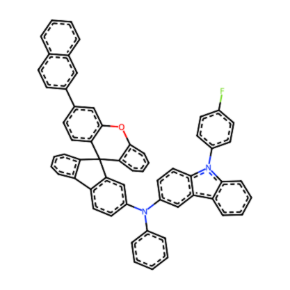 Fc1ccc(-n2c3ccccc3c3cc(N(c4ccccc4)c4ccc5c(c4)C4(c6ccccc6Oc6cc(-c7ccc8ccccc8c7)ccc64)c4ccccc4-5)ccc32)cc1